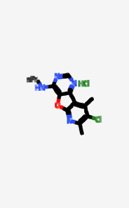 CCCNc1ncnc2c1oc1nc(C)c(Cl)c(C)c12.Cl